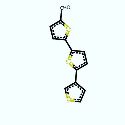 O=Cc1ccc(-c2ccc(-c3ccsc3)s2)s1